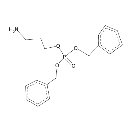 NCCCOP(=O)(OCc1ccccc1)OCc1ccccc1